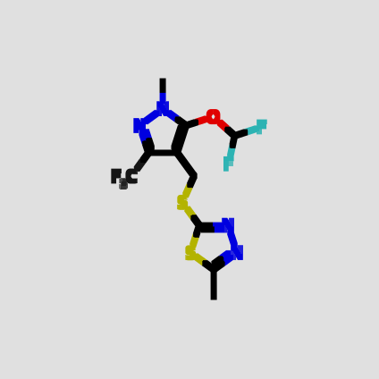 Cc1nnc(SCc2c(C(F)(F)F)nn(C)c2OC(F)F)s1